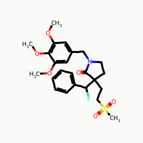 COc1cc(CN2CCC(CCS(C)(=O)=O)(C(F)c3ccccc3)C2=O)cc(OC)c1OC